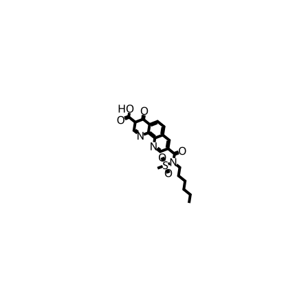 CCCCCCN(C(=O)c1cnc2c3c(ccc2c1)C(=O)C(C(=O)O)C=N3)S(C)(=O)=O